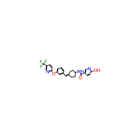 O=C(NC1CCC(=Cc2cccc(Oc3ccc(C(F)(F)F)cn3)c2)CC1)c1ccc(O)nc1